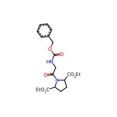 CCOC(=O)C1CCC(C(=O)OCC)N1C(=O)CNC(=O)OCc1ccccc1